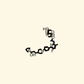 C/C(=C\c1nc(-c2ccc(N3CCC(CCC(O)N4CCCC4)CC3)cc2)c(F)cc1C)O[C@@H]1CO[C@H]2[C@@H]1OC[C@H]2O